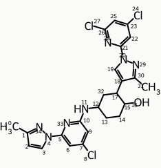 Cc1ccn(-c2cc(Cl)cc(NC3CCC(O)C(c4cn(-c5cc(Cl)cc(Cl)n5)nc4C)C3)n2)n1